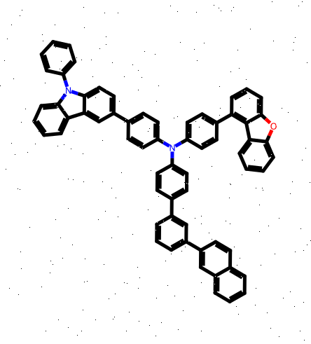 c1ccc(-n2c3ccccc3c3cc(-c4ccc(N(c5ccc(-c6cccc(-c7ccc8ccccc8c7)c6)cc5)c5ccc(-c6cccc7oc8ccccc8c67)cc5)cc4)ccc32)cc1